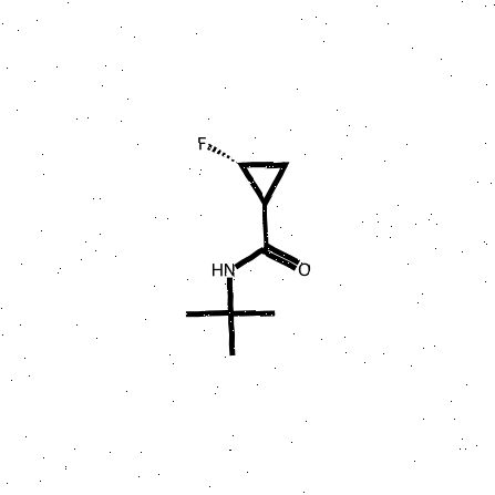 CC(C)(C)NC(=O)C1C[C@H]1F